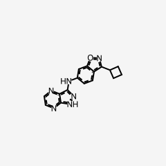 c1cnc2c(Nc3ccc4c(C5CCC5)noc4c3)n[nH]c2n1